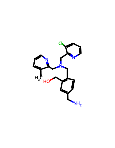 Cc1cccnc1CN(Cc1ccc(CN)cc1CO)Cc1ncccc1Cl